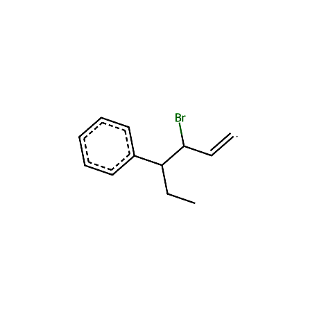 [CH]=CC(Br)C(CC)c1ccccc1